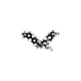 Nc1nc(O[C@@](I)(c2ccc(-c3ccc4sncc4c3)cc2)C(F)(F)F)cc(N2CCC3(CCNC3)CC2)n1